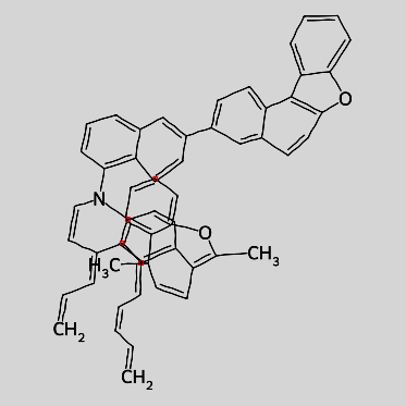 C=C/C=C\C=C/CC(/C=C\N(c1ccc(C2=C(/C)Oc3ccccc3C(C)/C=C\2)cc1)c1cccc2cc(-c3ccc4c(ccc5oc6ccccc6c54)c3)ccc12)=C/C=C